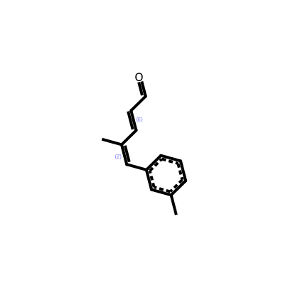 CC(=C/c1cccc(C)c1)/C=C/C=O